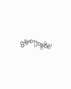 O=C1CCC(N2Cc3cc(CNCC4CCN(c5cnc(-c6cccc7ccccc67)nc5)CC4)ccc3C2=O)C(=O)N1